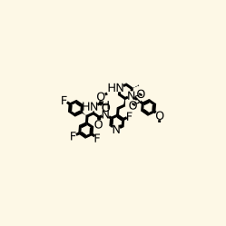 COC(=O)N[C@H](C(=O)Nc1cncc(F)c1CC[C@H]1CNC[C@H](C)N1S(=O)(=O)c1ccc(OC)cc1)[C@@H](c1ccc(F)cc1)c1cc(F)cc(F)c1